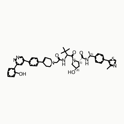 Cc1ncsc1-c1ccc([C@H](C)NC(=O)[C@@H]2C[C@@H](O)CN2C(=O)C(NC(=O)CN2CC=C(c3ccc(-c4cnnc(-c5ccccc5O)c4)cc3)CC2)C(C)(C)C)cc1